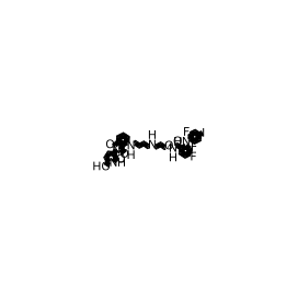 O=C(NOCCCNCCCCNc1cccc2c1C(=O)N(C1CCC(O)NC1=O)C2=O)c1ccc(F)c(F)c1Nc1ccc(I)cc1F